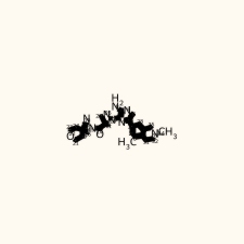 Cc1cc(-c2cnc(N)c(-n3cc(C(=O)NCC4(C#N)CCOCC4)cn3)n2)cc2c1CCN(C)C2